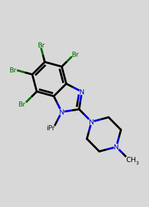 CC(C)n1c(N2CCN(C)CC2)nc2c(Br)c(Br)c(Br)c(Br)c21